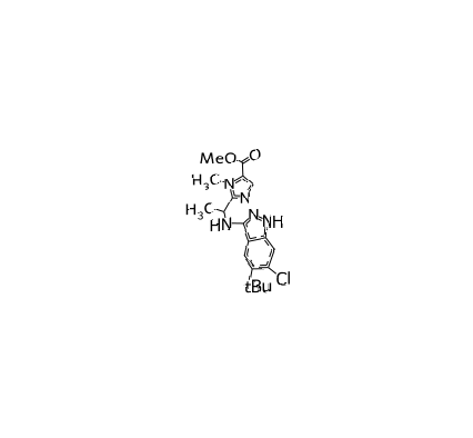 COC(=O)c1cnc(C(C)Nc2n[nH]c3cc(Cl)c(C(C)(C)C)cc23)n1C